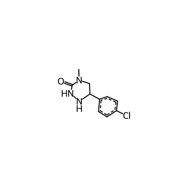 CN1CC(c2ccc(Cl)cc2)NNC1=O